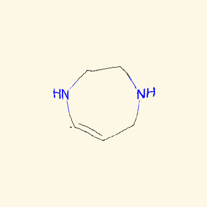 [C]1=CCNCCN1